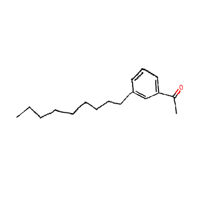 CCCCCCCCCc1cccc(C(C)=O)c1